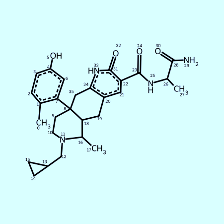 Cc1ccc(O)cc1C12CCN(CC3CC3)C(C)C1Cc1cc(C(=O)NC(C)C(N)=O)c(=O)[nH]c1C2